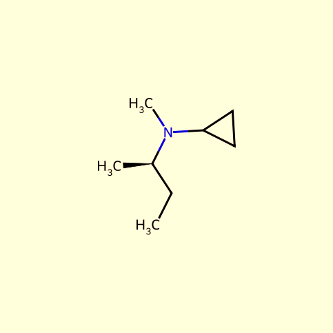 CC[C@@H](C)N(C)C1CC1